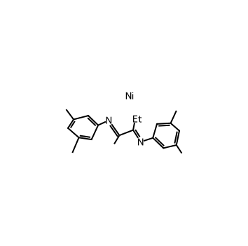 CCC(=N\c1cc(C)cc(C)c1)/C(C)=N/c1cc(C)cc(C)c1.[Ni]